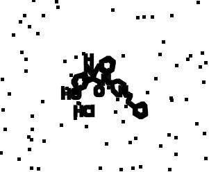 Cc1[nH]c2ccc(O)cc2c1C(=O)N(c1ccccc1)C1CCN(CCc2ccccc2)CC1.Cl